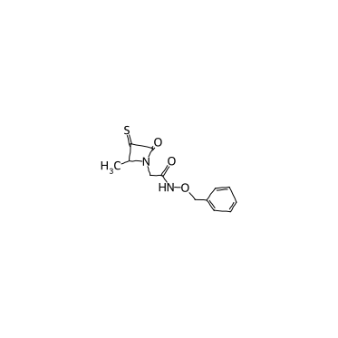 CC1C(=S)C(=O)N1CC(=O)NOCc1ccccc1